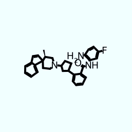 C[C@H]1CN(C2CCC(c3ccccc3C(=O)Nc3cc(F)ccc3N)C2)CCC12C=Cc1ccccc12